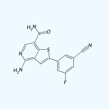 N#Cc1cc(F)cc(-c2cc3c(N)ncc(C(N)=O)c3s2)c1